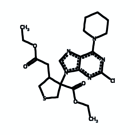 CCOC(=O)CC1CSCC1(C(=O)OCC)n1cnc2c(N3CCCCC3)nc(Cl)nc21